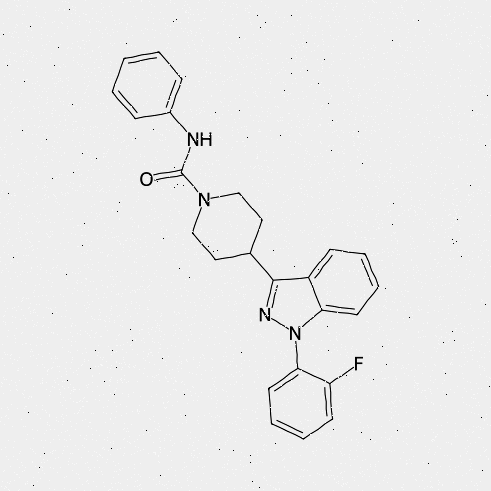 O=C(Nc1ccccc1)N1CCC(c2nn(-c3ccccc3F)c3ccccc23)CC1